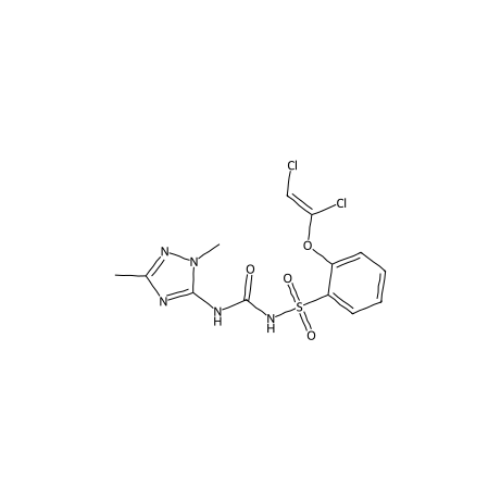 Cc1nc(NC(=O)NS(=O)(=O)c2ccccc2OC(Cl)=CCl)n(C)n1